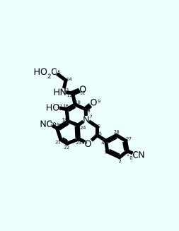 N#Cc1ccc(C2Cn3c(=O)c(C(=O)NCC(=O)O)c(O)c4c(C#N)ccc(c43)O2)cc1